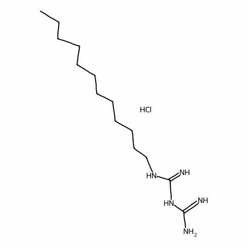 CCCCCCCCCCCCNC(=N)NC(=N)N.Cl